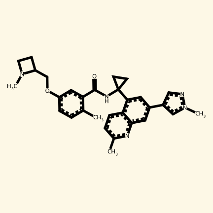 Cc1ccc2c(C3(NC(=O)c4cc(OCC5CCN5C)ccc4C)CC3)cc(-c3cnn(C)c3)cc2n1